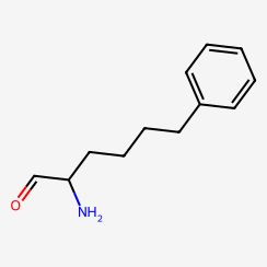 NC(C=O)CCCCc1ccccc1